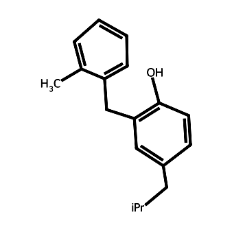 Cc1ccccc1Cc1cc(CC(C)C)ccc1O